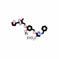 CCOC(=O)c1cn(Cc2ccccc2)nc1OCc1ccc(OCc2nc(-c3ccco3)oc2C)c(OCC)c1